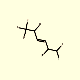 FC(F)C(F)C=CC(F)C(F)(F)F